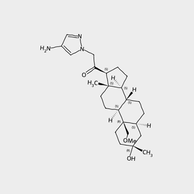 COC[C@]12CC[C@@](C)(O)C[C@@H]1CC[C@H]1[C@@H]3CC[C@H](C(=O)Cn4cc(N)cn4)[C@@]3(C)CC[C@@H]12